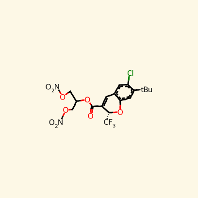 CC(C)(C)c1cc2c(cc1Cl)C=C(C(=O)OC(CO[N+](=O)[O-])CO[N+](=O)[O-])[C@@H](C(F)(F)F)O2